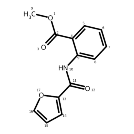 COC(=O)c1ccccc1NC(=O)c1ccco1